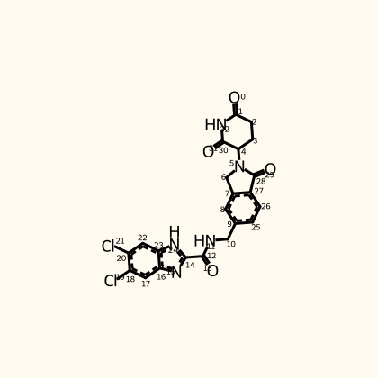 O=C1CCC(N2Cc3cc(CNC(=O)c4nc5cc(Cl)c(Cl)cc5[nH]4)ccc3C2=O)C(=O)N1